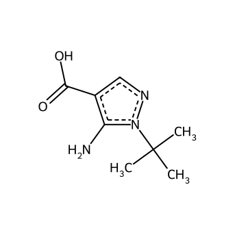 CC(C)(C)n1ncc(C(=O)O)c1N